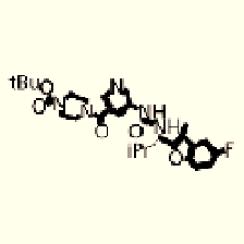 Cc1c([C@@H](NC(=O)Nc2cncc(C(=O)N3CCN(C(=O)OC(C)(C)C)CC3)c2)C(C)C)oc2ccc(F)cc12